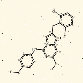 COc1nc(Nc2ccc(CF)cc2)c2nc(Cc3c(Cl)cccc3Cl)[nH]c2n1